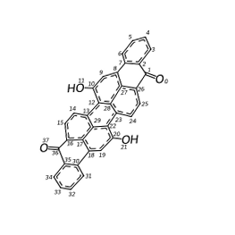 O=C1c2ccccc2-c2cc(O)c3c4ccc5c6c(cc(O)c(c7ccc1c2c73)c64)-c1ccccc1C5=O